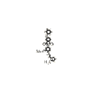 COc1cc(N2C(=O)c3ccc(Oc4ccccc4)cc3C2=O)ccc1OCCN1CCCC1C